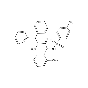 COc1ccccc1C(NS(=O)(=O)c1ccc(C)cc1)C(=O)C(N)C(c1ccccc1)c1ccccc1